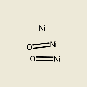 [Ni].[O]=[Ni].[O]=[Ni]